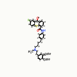 COc1ccc(CCN(C)CCCCc2ccc(NC(=O)c3cccc4c(=O)c5cc(F)ccc5sc34)cc2)cc1OC